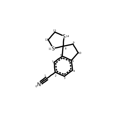 N#Cc1ccc2c(c1)C1(CC2)SCCS1